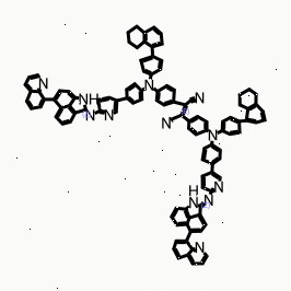 N#C/C(=C(/C#N)c1ccc(N(c2ccc(-c3ccc(/N=C4\Nc5cccc6c(-c7cccc8cccnc78)ccc4c56)nc3)cc2)c2ccc(-c3cccc4c3CCCC4)cc2)cc1)c1ccc(N(c2ccc(-c3ccc(/N=C4\Nc5ccc(-c6cccc7cccnc67)c6cccc4c56)nc3)cc2)c2ccc(-c3cccc4c3CCCC4)cc2)cc1